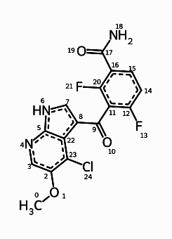 COc1cnc2[nH]cc(C(=O)c3c(F)ccc(C(N)=O)c3F)c2c1Cl